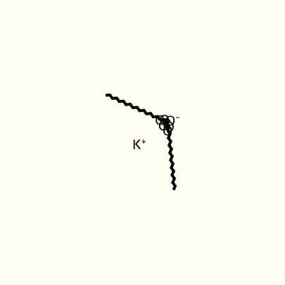 CCCCCCCCCCCCCCCCOOP(=O)([O-])OOCCCCCCCCCCCCCCCC.[K+]